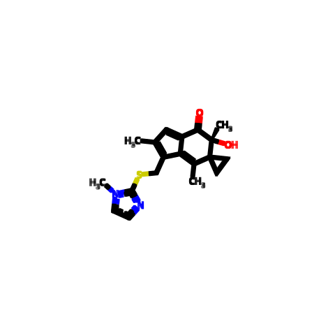 CC1=C(CSc2nccn2C)C2=C(C)C3(CC3)[C@@](C)(O)C(=O)C2=C1